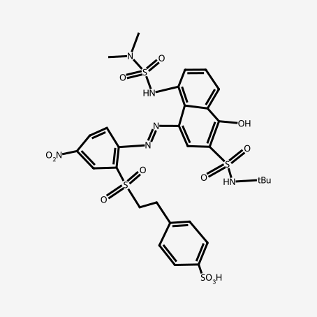 CN(C)S(=O)(=O)Nc1cccc2c(O)c(S(=O)(=O)NC(C)(C)C)cc(/N=N/c3ccc([N+](=O)[O-])cc3S(=O)(=O)CCc3ccc(S(=O)(=O)O)cc3)c12